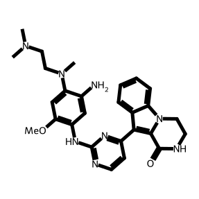 COc1cc(N(C)CCN(C)C)c(N)cc1Nc1nccc(-c2c3n(c4ccccc24)CCNC3=O)n1